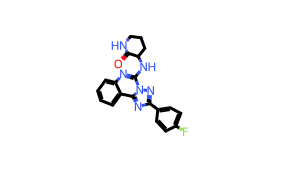 O=C1NCCCC1Nc1nc2ccccc2c2nc(-c3ccc(F)cc3)nn12